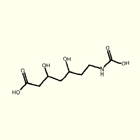 O=C(O)CC(O)CC(O)CCNC(=O)O